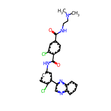 CN(C)CCNC(=O)c1ccc(C(=O)Nc2ccc(Cl)c(-c3cnc4ccccc4n3)c2)c(Cl)c1